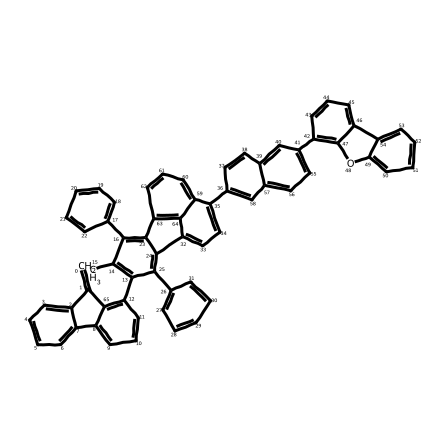 C=C1c2ccccc2-c2cccc(-c3c(C)c(-c4ccccc4)c4c(c3-c3ccccc3)-c3ccc(-c5ccc6cc(-c7cccc8c7oc7ccccc78)ccc6c5)c5cccc-4c35)c21